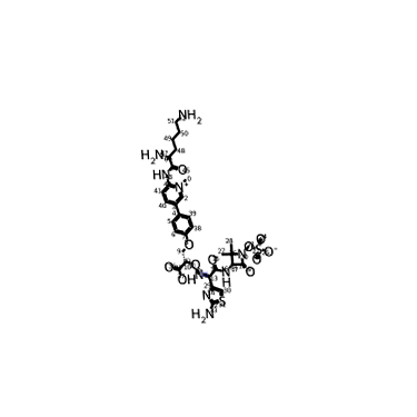 C[n+]1cc(-c2ccc(OC[C@H](O/N=C(\C(=O)N[C@@H]3C(=O)N(OS(=O)(=O)[O-])C3(C)C)c3csc(N)n3)C(=O)O)cc2)ccc1NC(=O)[C@H](N)CCCCN